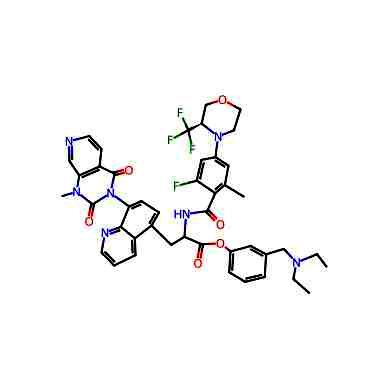 CCN(CC)Cc1cccc(OC(=O)C(Cc2ccc(-n3c(=O)c4ccncc4n(C)c3=O)c3ncccc23)NC(=O)c2c(C)cc(N3CCOC[C@@H]3C(F)(F)F)cc2F)c1